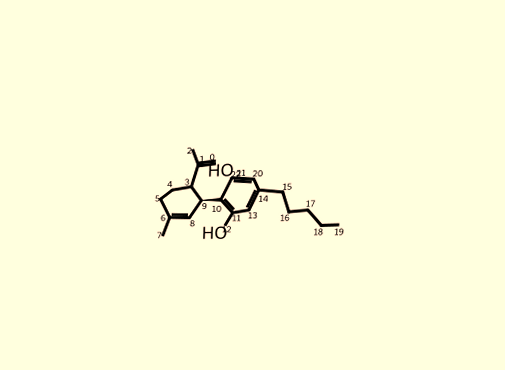 C=C(C)C1CCC(C)=C[C@@H]1c1c(O)cc(CCCCC)cc1O